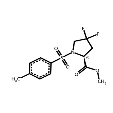 COC(=O)[C@@H]1CC(F)(F)CN1S(=O)(=O)c1ccc(C)cc1